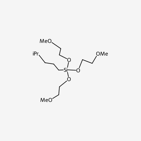 COCCO[Si](CCCC(C)C)(OCCOC)OCCOC